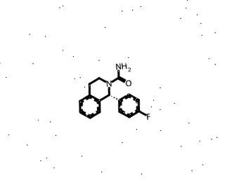 NC(=O)N1CCc2ccccc2[C@H]1c1ccc(F)cc1